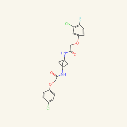 O=C(COc1ccc(Cl)cc1)NC12CC(NC(=O)COc3ccc(F)c(Cl)c3)(C1)C2